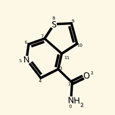 NC(=O)c1cncc2sccc12